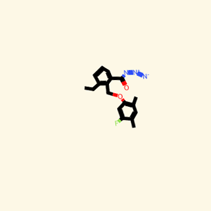 CCc1cccc(C(=O)N=[N+]=[N-])c1COc1cc(F)c(C)cc1C